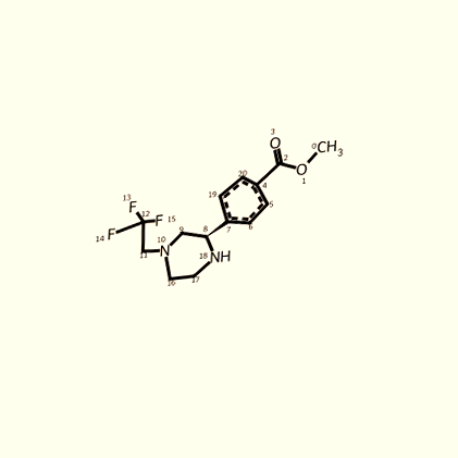 COC(=O)c1ccc([C@@H]2CN(CC(F)(F)F)CCN2)cc1